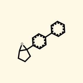 c1ccc(-c2ccc(C34CCCC3O4)cc2)cc1